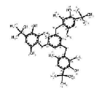 Cc1cc(C(C)(C)C)c(O)c(C)c1Cc1cc(Cc2c(C)cc(C(C)(C)C)c(O)c2C)cc(Cc2c(C)cc(C(C)(C)C)c(O)c2C)c1